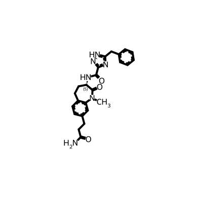 CN1C(=O)[C@@H](NC(=O)c2n[nH]c(Cc3ccccc3)n2)CCc2ccc(CCC(N)=O)cc21